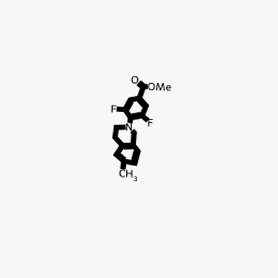 COC(=O)c1cc(F)c(N2CCc3cc(C)ccc3C2)c(F)c1